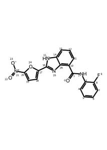 O=C(Nc1ccccc1F)c1cccc2[nH]c(-c3ccc([N+](=O)[O-])o3)nc12